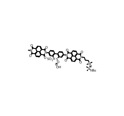 CCCC[Si](C)(C)O[Si](C)(C)CCCN1C(=O)c2ccc3c4c(ccc(c24)C1=O)C(=O)N(c1ccc(-c2ccc(N4C(=O)c5ccc6c7c(ccc(c57)C4=O)C(=O)N(C)C6=O)cc2S(=O)(=O)O)c(SOOO)c1)C3=O